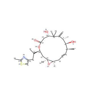 C=C1[C@H](C)[C@@H](O)[C@@H](C)/C=C/C[C@@]2(C)O[C@H]2C[C@@H](C(C)Cc2csc(C)n2)OC(=O)C[C@H](O)C1(C)C